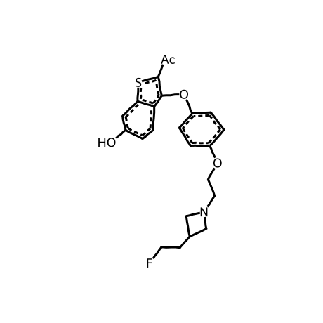 CC(=O)c1sc2cc(O)ccc2c1Oc1ccc(OCCN2CC(CCF)C2)cc1